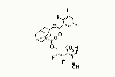 C#C/C(F)=C(C(=O)O)\C(F)=C(\F)COC(=O)C12CC3CC(CC(OC(=O)c4cc(I)cc(I)c4I)(C3)C1)C2